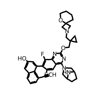 C#Cc1cccc2cc(O)cc(-c3c(F)cc4c(N5CC6CCC(C5)N6)nc(OCC5(CN6CC7(CCCCO7)C6)CC5)nc4c3F)c12